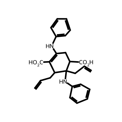 C=CCC1C(C(=O)O)=C(Nc2ccccc2)CC(C(=O)O)C1(CC=C)Nc1ccccc1